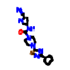 N#Cc1ccc(NC(=O)N2CCN(c3nc(-c4ccccc4)ns3)CC2)cn1